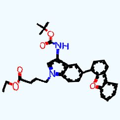 CCOC(=O)CCCn1cc(NC(=O)OC(C)(C)C)c2cc(-c3cccc4c3oc3ccccc34)ccc21